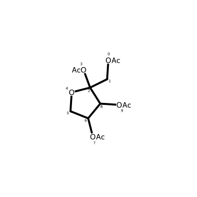 CC(=O)OCC1(OC(C)=O)OCC(OC(C)=O)C1OC(C)=O